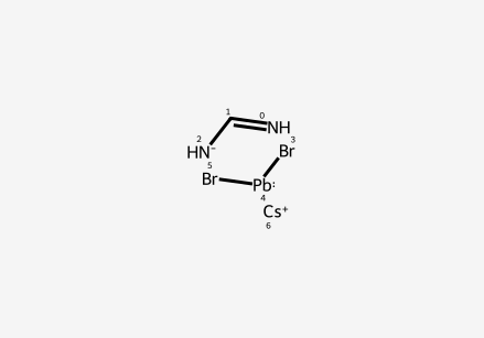 N=C[NH-].[Br][Pb][Br].[Cs+]